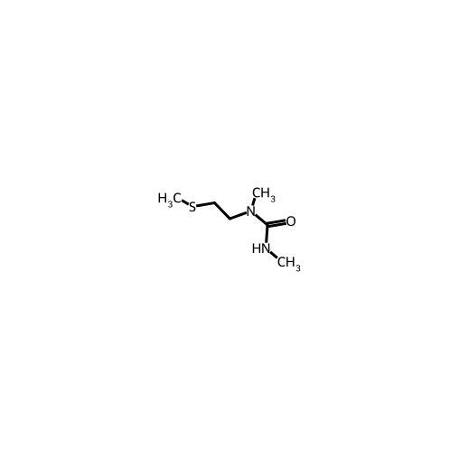 CNC(=O)N(C)CCSC